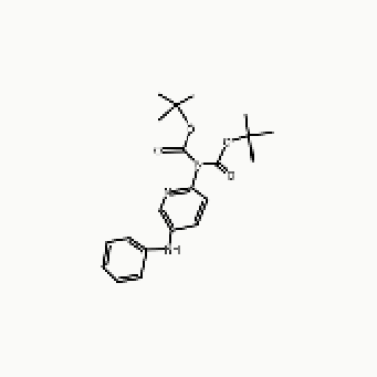 CC(C)(C)OC(=O)N(C(=O)OC(C)(C)C)c1ccc(Nc2ccccc2)cn1